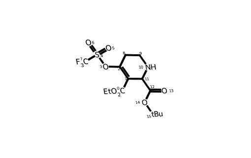 CCOC(=O)C1=C(OS(=O)(=O)C(F)(F)F)CCNC1C(=O)OC(C)(C)C